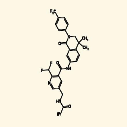 CC(C)C(=O)NCc1cnc(C(F)F)c(C(=O)Nc2ccc3c(c2)C(=O)N(c2ccc(C(F)(F)F)cc2)CC3(C)C)c1